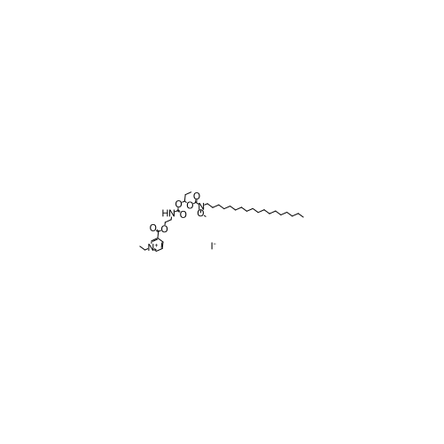 CCCCCCCCCCCCCCCCCCN(OC)C(=O)OC(CC)OC(=O)NCCOC(=O)c1ccc[n+](CC)c1.[I-]